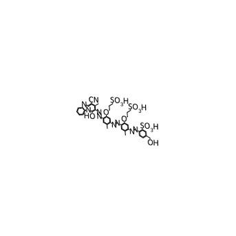 Cc1cc(N=Nc2c(C)c(C#N)c3nc4ccccc4n3c2O)c(OCCCS(=O)(=O)O)cc1N=Nc1cc(C)c(N=Nc2ccc(CO)cc2S(=O)(=O)O)cc1OCCCS(=O)(=O)O